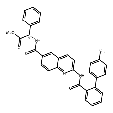 COC(=O)[C@@H](NC(=O)c1ccc2nc(NC(=O)c3ccccc3-c3ccc(C(F)(F)F)cc3)ccc2c1)c1ccccn1